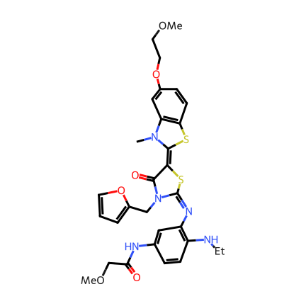 CCNc1ccc(NC(=O)COC)cc1/N=C1/S/C(=C2\Sc3ccc(OCCOC)cc3N2C)C(=O)N1Cc1ccco1